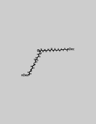 CCCCCCCCCCCCCCCCCCCCCCCCCCC(=O)OCCCCCCCCCCCCCCCCCCCCCCCC